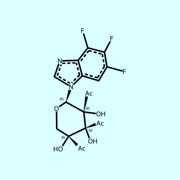 CC(=O)[C@@]1(O)[C@@](O)(C(C)=O)CO[C@@H](n2cnc3c(F)c(F)c(F)cc32)[C@@]1(O)C(C)=O